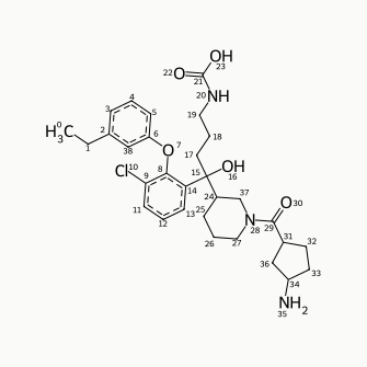 CCc1cccc(Oc2c(Cl)cccc2C(O)(CCCNC(=O)O)C2CCCN(C(=O)C3CCC(N)C3)C2)c1